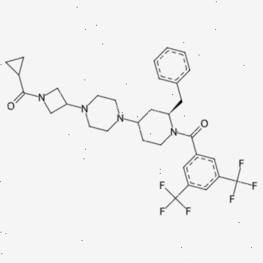 O=C(C1CC1)N1CC(N2CCN(C3CCN(C(=O)c4cc(C(F)(F)F)cc(C(F)(F)F)c4)[C@H](Cc4ccccc4)C3)CC2)C1